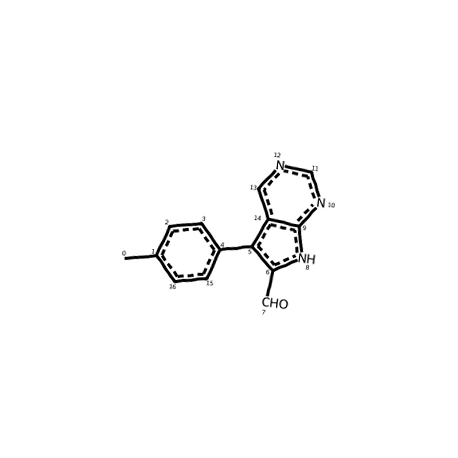 Cc1ccc(-c2c(C=O)[nH]c3ncncc23)cc1